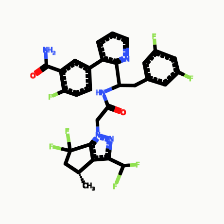 C[C@@H]1CC(F)(F)c2c1c(C(F)F)nn2CC(=O)NC(Cc1cc(F)cc(F)c1)c1ncccc1-c1ccc(F)c(C(N)=O)c1